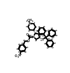 CN1CCC([C@@H]2C[C@H](SC(c3ccccc3)(c3ccccc3)c3ccccc3)CN2C(=O)OCc2ccc([N+](=O)[O-])cc2)CC1